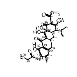 CN(C)[C@@H]1C(O)=C(C(N)=O)C(=O)C2(O)C(O)=C3C(=O)c4c(cc(F)c(NC(=O)CBr)c4O)CC3CC12